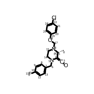 C[C@@H]1C(=C=O)N(Cc2ccc(F)cc2)CCN1COc1ccc(Cl)cc1